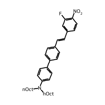 CCCCCCCCN(CCCCCCCC)c1ccc(-c2ccc(/C=C/c3ccc([N+](=O)[O-])c(F)c3)cc2)cc1